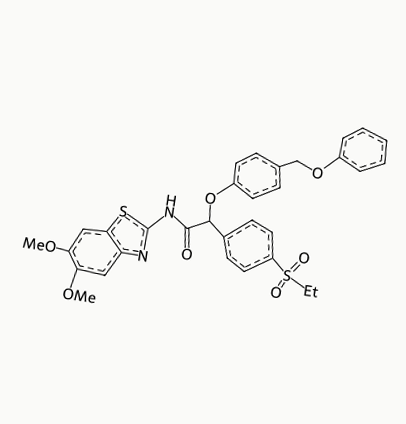 CCS(=O)(=O)c1ccc(C(Oc2ccc(COc3ccccc3)cc2)C(=O)Nc2nc3cc(OC)c(OC)cc3s2)cc1